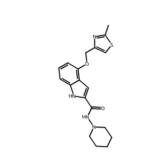 Cc1nc(COc2cccc3[nH]c(C(=O)NN4CCCCC4)cc23)cs1